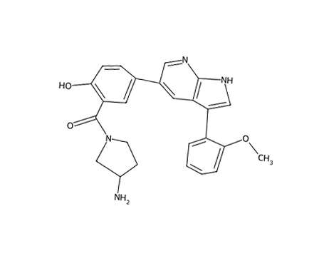 COc1ccccc1-c1c[nH]c2ncc(-c3ccc(O)c(C(=O)N4CCC(N)C4)c3)cc12